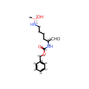 CB(O)NCCCCC(C=O)NC(=O)OCc1ccccc1